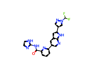 O=C(Nc1ncc[nH]1)c1cccc(-c2cnc3[nH]c(-c4cnn(C(F)F)c4)cc3c2)n1